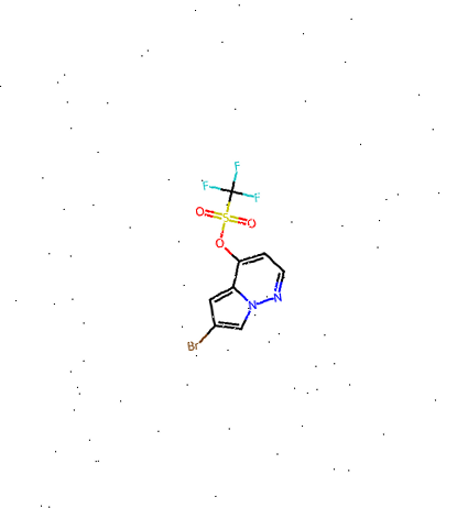 O=S(=O)(Oc1ccnn2cc(Br)cc12)C(F)(F)F